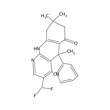 CC1(C)CC(=O)C2=C(C1)Nc1ncc(C(F)F)c(C#N)c1C2(C)c1ccccc1